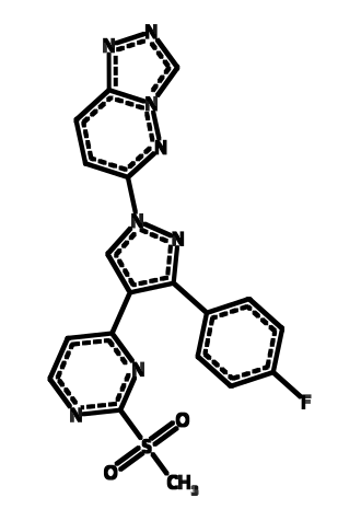 CS(=O)(=O)c1nccc(-c2cn(-c3ccc4nncn4n3)nc2-c2ccc(F)cc2)n1